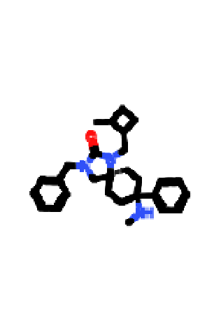 CN[C@]1(c2ccccc2)CC[C@]2(CC1)CN(Cc1ccccc1)C(=O)N2CC1CCC1C